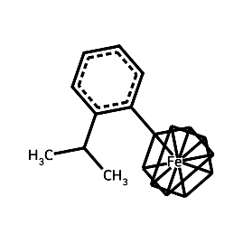 CC(C)c1ccccc1[C]12[CH]3[CH]4[CH]5[CH]1[Fe]45321678[CH]2[CH]1[CH]6[CH]7[CH]28